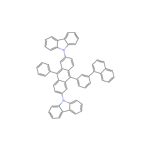 c1ccc(-c2c3ccc(-n4c5ccccc5c5ccccc54)cc3c(-c3cccc(-c4cccc5ccccc45)c3)c3ccc(-n4c5ccccc5c5ccccc54)cc23)cc1